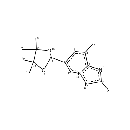 Cc1nc2c(C)cc(B3OC(C)(C)C(C)(C)O3)cn2n1